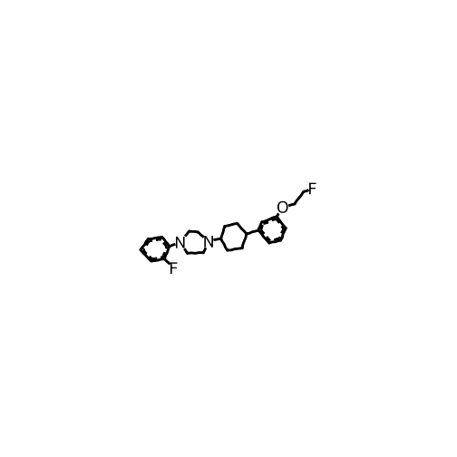 FCCOc1cccc(C2CCC(N3CCN(c4ccccc4F)CC3)CC2)c1